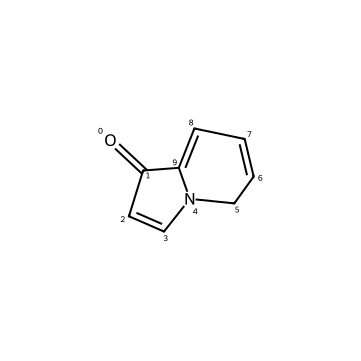 O=C1C=CN2CC=CC=C12